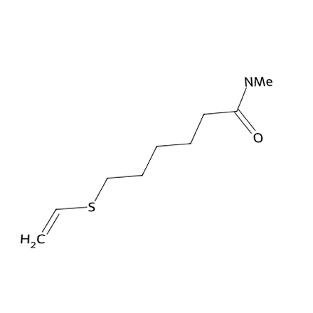 C=CSCCCCCC(=O)NC